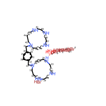 Br.Br.Br.Br.Br.Br.Br.Br.O.O.c1cc(CN2CCCNCCNCCNCCC2)ccc1CN1CCCNCCNCCNCCC1